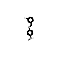 FNc1ccc(OCc2cccc(F)c2)cc1